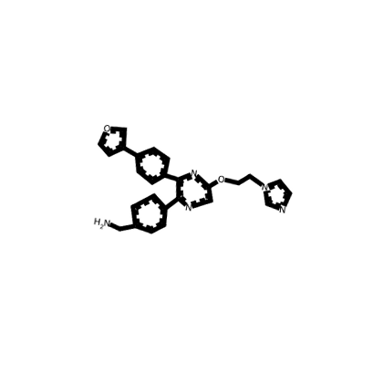 NCc1ccc(-c2ncc(OCCn3ccnc3)nc2-c2ccc(-c3ccoc3)cc2)cc1